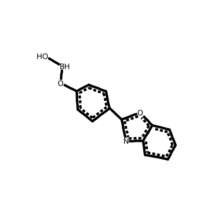 OBOc1ccc(-c2nc3ccccc3o2)cc1